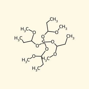 CCC(OC)O[Si](OC(CC)OC)(OC(CC)OC)OC(CC)OC